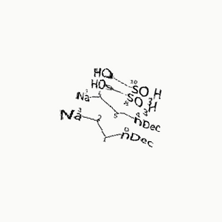 CCCCCCCCCCC[CH2][Na].CCCCCCCCCCC[CH2][Na].O=S(=O)(O)O.O=S(=O)(O)O